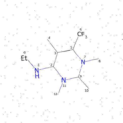 CCNC1C(C)C(C(F)(F)F)N(C)C(C)N1C